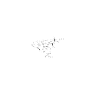 C[C@]12CCCCC1=CC[C@@H]1[C@@H]2CC[C@]2(C)C(C(=O)CO)=CC[C@@H]12.O=S(=O)(O)O